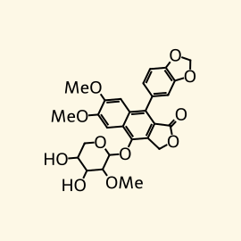 COc1cc2c(OC3OCC(O)C(O)C3OC)c3c(c(-c4ccc5c(c4)OCO5)c2cc1OC)C(=O)OC3